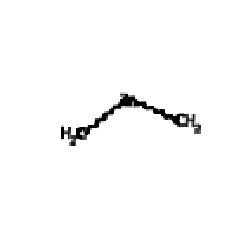 C=CCCCCCCCC[CH2][Zn][CH2]CCCCCCCCC=C